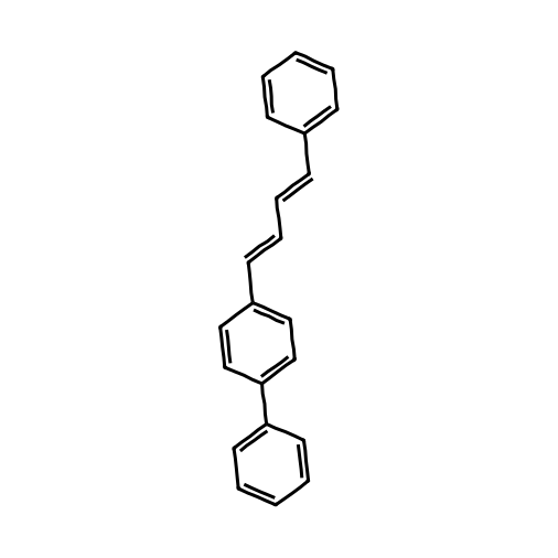 C(C=Cc1ccc(-c2ccccc2)cc1)=Cc1ccccc1